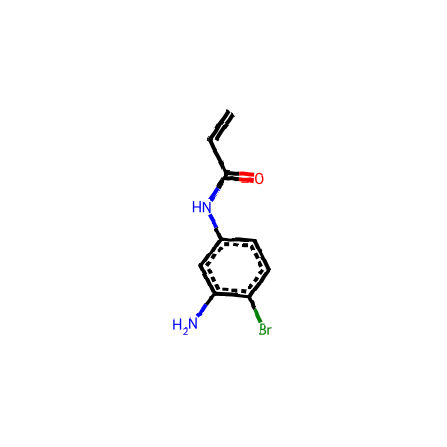 C=CC(=O)Nc1ccc(Br)c(N)c1